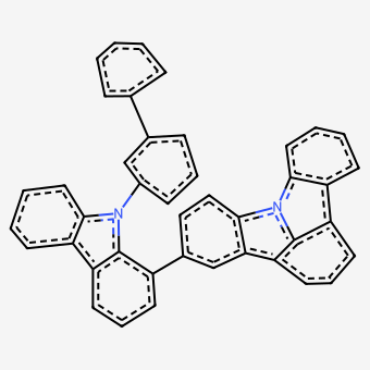 c1ccc(-c2cccc(-n3c4ccccc4c4cccc(-c5ccc6c(c5)c5cccc7c8ccccc8n6c75)c43)c2)cc1